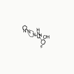 Oc1ccc(F)cc1-c1cc(N2CCCN(c3ccccn3)CC2)[nH]n1